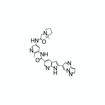 Cc1ncc(NC(=O)CN2CCC[C@@H]2C)cc1NC(=O)c1cnc2[nH]c(-c3cnc4ccnn4c3)cc2c1